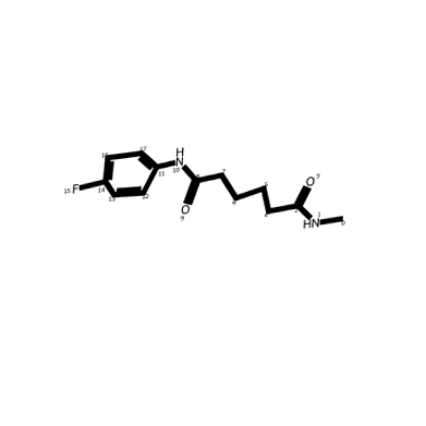 CNC(=O)CCCCC(=O)Nc1ccc(F)cc1